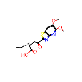 CCC[C@H](CC(=O)c1nc2nc(OC)c(OC)cc2s1)C(=O)O